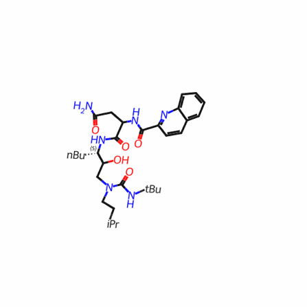 CCCC[C@H](NC(=O)C(CC(N)=O)NC(=O)c1ccc2ccccc2n1)C(O)CN(CCC(C)C)C(=O)NC(C)(C)C